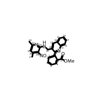 COC(=O)c1ccccc1-c1nc2ccccc2cc1CNc1nc(C)cc(C)c1[N+](=O)[O-]